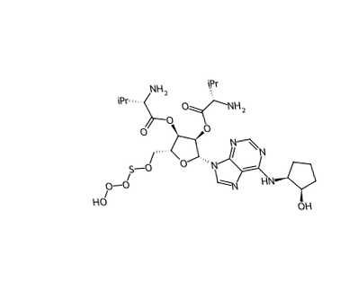 CC(C)[C@H](N)C(=O)O[C@@H]1[C@H](OC(=O)[C@@H](N)C(C)C)[C@@H](COSOOO)O[C@H]1n1cnc2c(N[C@H]3CCC[C@H]3O)ncnc21